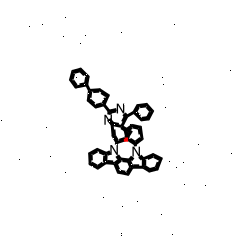 c1ccc(-c2ccc(-c3nc(-c4ccccc4)c4ccc(-n5c6ccccc6c6ccc7c8ccccc8n(-c8ccccc8)c7c65)cc4n3)cc2)cc1